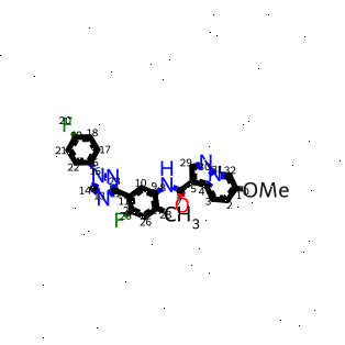 COc1ccc2c(C(=O)Nc3cc(-c4ncn(-c5ccc(F)cc5)n4)c(F)cc3C)cnn2c1